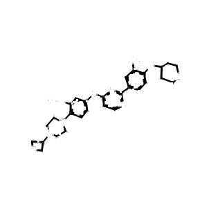 COc1cc(Nc2ccnc(-c3ccc(OC4CCOCC4)c(C#N)c3)n2)ccc1N1CCN(C2COC2)CC1